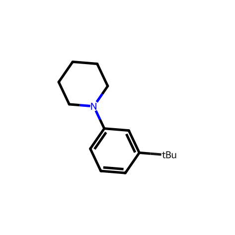 CC(C)(C)c1cccc(N2CCCCC2)c1